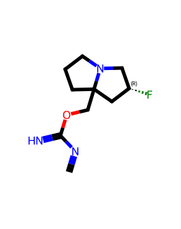 C=NC(=N)OCC12CCCN1C[C@H](F)C2